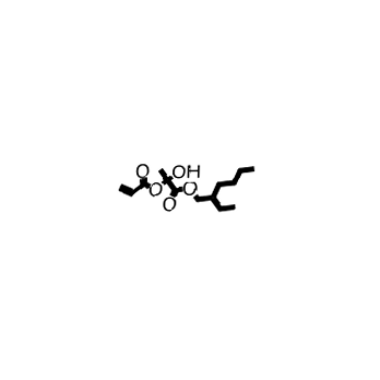 C=CC(=O)OC(C)(O)C(=O)OCC(CC)CCCC